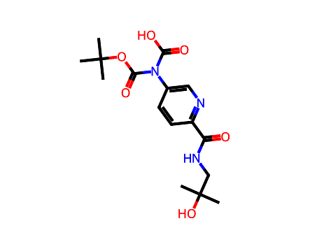 CC(C)(O)CNC(=O)c1ccc(N(C(=O)O)C(=O)OC(C)(C)C)cn1